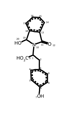 O=C(O)C(Cc1ccc(O)cc1)N1C(=O)c2ccccc2C1O